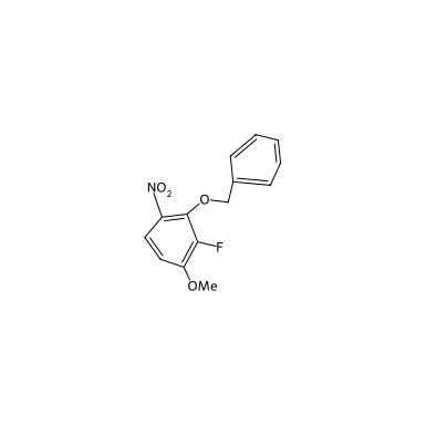 COc1ccc([N+](=O)[O-])c(OCc2ccccc2)c1F